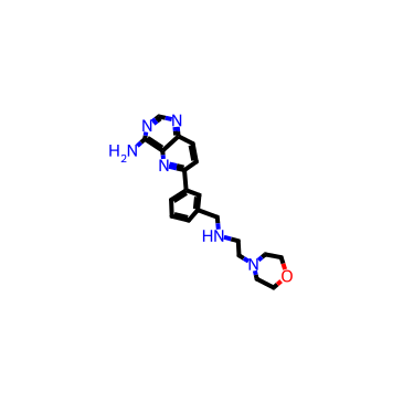 Nc1ncnc2ccc(-c3cccc(CNCCN4CCOCC4)c3)nc12